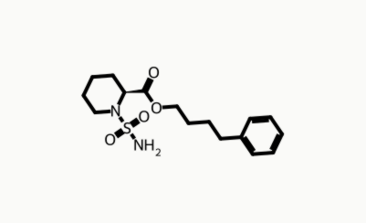 NS(=O)(=O)N1CCCC[C@H]1C(=O)OCCCCc1ccccc1